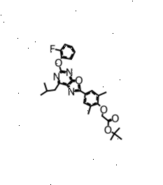 Cc1cc(-c2nc3c(CC(C)C)nc(Oc4ccccc4F)nc3o2)cc(C)c1OCC(=O)OC(C)(C)C